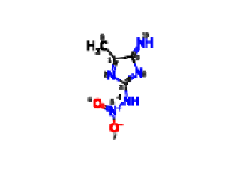 CC1=NC(N[N+](=O)[O-])=NC1=N